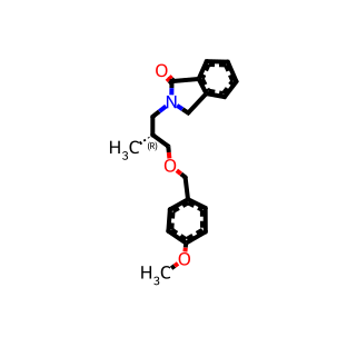 COc1ccc(COC[C@H](C)CN2Cc3ccccc3C2=O)cc1